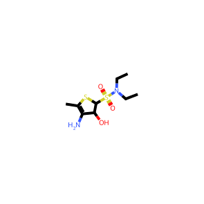 CCN(CC)S(=O)(=O)C1SC(C)=C(N)C1O